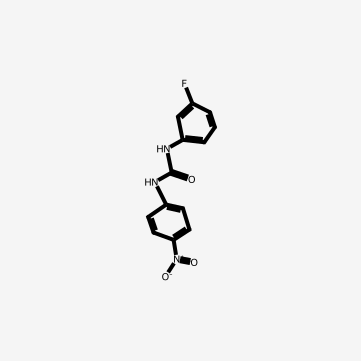 O=C(Nc1ccc([N+](=O)[O-])cc1)Nc1cccc(F)c1